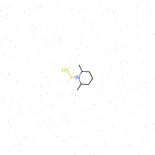 CC1CCCC(C)N1SS